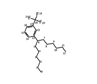 CCCCCCC(CCCCCC)c1cccc(C(F)(F)F)c1